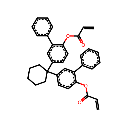 C=CC(=O)Oc1ccc(C2(c3ccc(OC(=O)C=C)c(-c4ccccc4)c3)CCCCC2)cc1-c1ccccc1